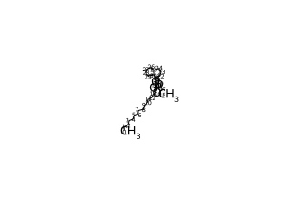 CCCCCCCCCCCCCCOP(=O)(CC)OOc1cccc2ccccc12